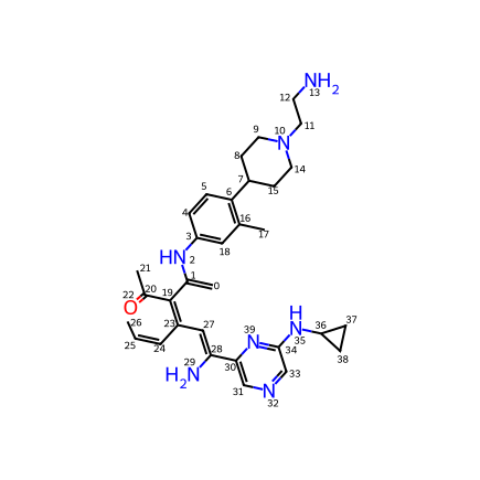 C=C(Nc1ccc(C2CCN(CCN)CC2)c(C)c1)/C(C(C)=O)=C(/C=C\C)\C=C(/N)c1cncc(NC2CC2)n1